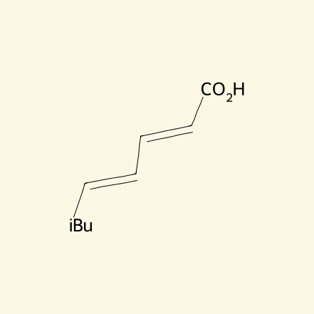 CCC(C)C=CC=CC(=O)O